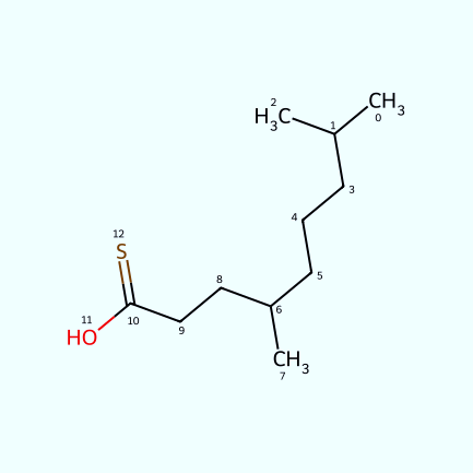 CC(C)CCCC(C)CCC(O)=S